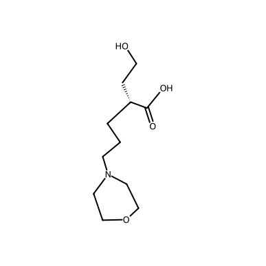 O=C(O)[C@@H](CCO)CCCN1CCOCC1